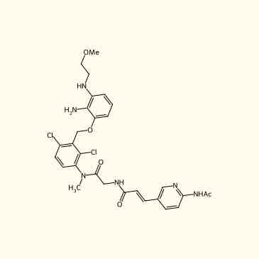 COCCNc1cccc(OCc2c(Cl)ccc(N(C)C(=O)CNC(=O)C=Cc3ccc(NC(C)=O)nc3)c2Cl)c1N